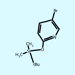 CC(C)(C)[Si](C)(C)Oc1ccc(Br)cn1